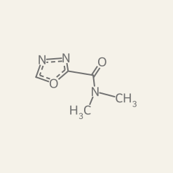 CN(C)C(=O)c1nnco1